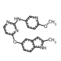 COc1ccc(Nc2nccc(Oc3ccc4[nH]c(C)cc4c3)n2)cn1